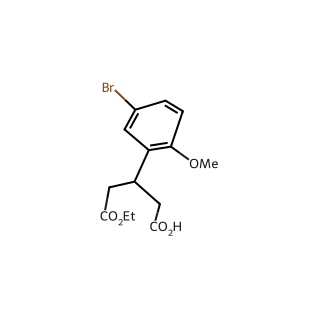 CCOC(=O)CC(CC(=O)O)c1cc(Br)ccc1OC